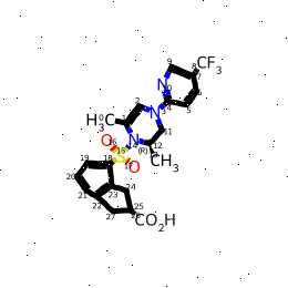 CC1=CN(c2ccc(C(F)(F)F)cn2)C[C@@H](C)N1S(=O)(=O)c1cccc2c1CC(C(=O)O)C2